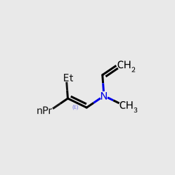 C=CN(C)/C=C(\CC)CCC